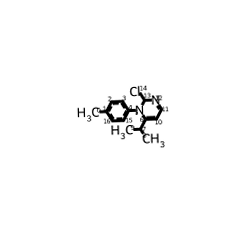 Cc1ccc(N2C(C(C)C)=CC=NC2Cl)cc1